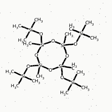 C[Si](C)(C)O[Si]1(C)O[Si](C)(O[Si](C)(C)C)O[Si](C)(O[Si](C)(C)C)O[Si](C)(O[Si](C)(C)C)O1